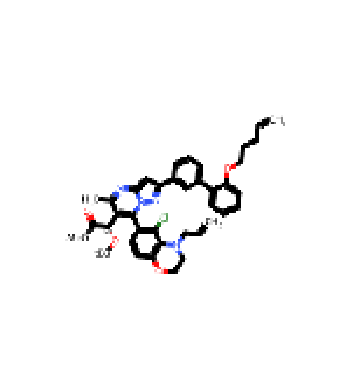 C=CCCCOc1ccccc1-c1cccc(-c2cc3nc(C)c([C@H](OC(C)(C)C)C(=O)OC)c(-c4ccc5c(c4Cl)N(CC=C)CCO5)n3n2)c1